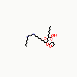 CCCCC/C=C\C/C=C\CCCCCCCC(CC(O)C(CCCCCC)C(=O)O)OC1CCCCO1